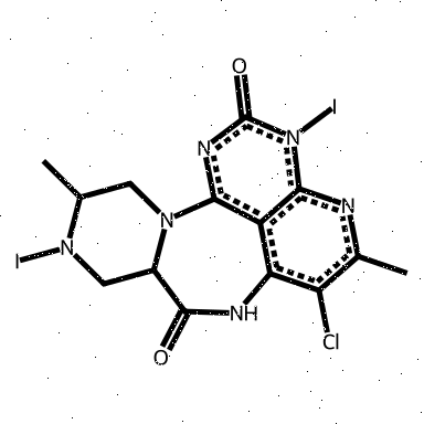 Cc1nc2c3c(nc(=O)n2I)N2CC(C)N(I)CC2C(=O)Nc3c1Cl